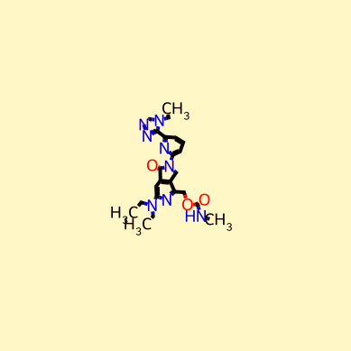 CCN(CC)c1cc2c(c(COC(=O)NC)n1)CN(c1cccc(-c3nncn3CC)n1)C2=O